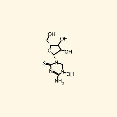 NC1=NC(=S)N([C@@H]2O[C@H](CO)C(O)C2O)CN1O